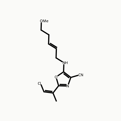 COCC/C=C/CNc1oc(/C(C)=C\Cl)nc1C#N